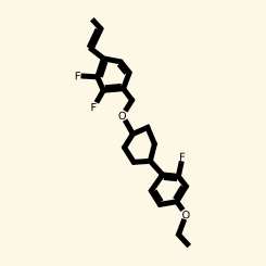 C/C=C/c1ccc(COC2CCC(c3ccc(OCC)cc3F)CC2)c(F)c1F